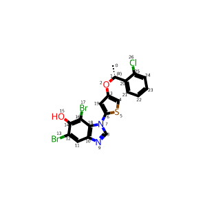 C[C@@H](Oc1csc(-n2cnc3cc(Br)c(O)c(Br)c32)c1)c1ccccc1Cl